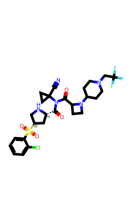 N#CC1(N(C(=O)C2CCN2C2CCN(CC(F)(F)F)CC2)C(=O)[C@@H]2C[C@@H](S(=O)(=O)c3ccccc3Cl)CN2)CC1